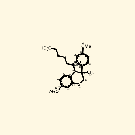 CCCCC(CCCCC(=O)O)C1c2ccc(OC)cc2SCC1(C)c1ccc(OC)cc1